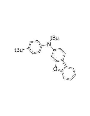 CC(C)(C)c1ccc(N(c2ccc3c(c2)oc2ccccc23)C(C)(C)C)cc1